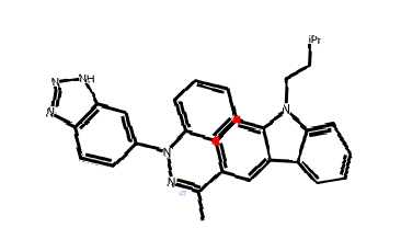 C/C(=N/N(c1ccccc1)c1ccc2nn[nH]c2c1)c1ccc2c(c1)c1ccccc1n2CCC(C)C